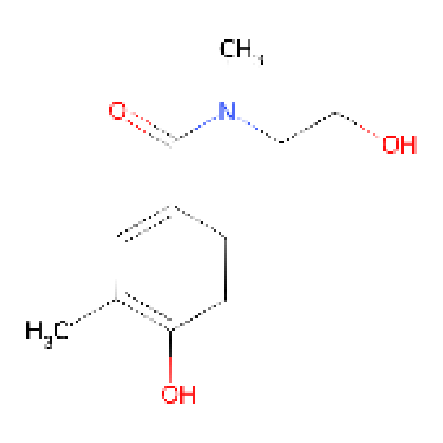 Cc1cc(C(=O)N(C)CCO)ccc1O